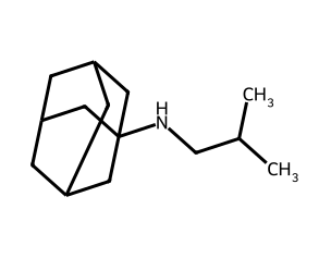 CC(C)CNC12CC3CC(CC(C3)C1)C2